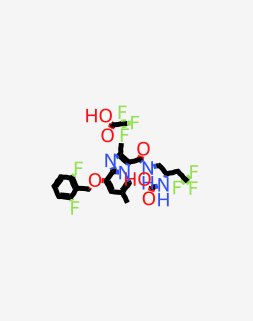 Cc1cc(OCc2c(F)cccc2F)c2nc(C)c(C(=O)NCC(CC(F)(F)F)NC(=O)O)n2c1.O=C(O)C(F)(F)F